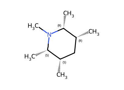 C[C@@H]1C[C@H](C)[C@H](C)N(C)[C@@H]1C